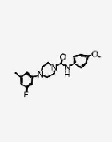 COc1ccc(NC(=O)N2CCN(c3cc(C)cc(F)c3)CC2)cc1